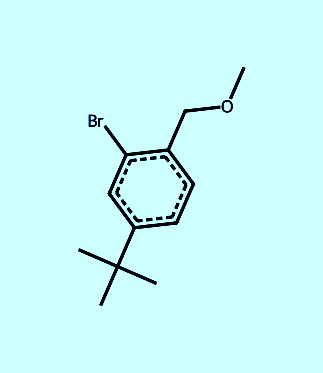 COCc1ccc(C(C)(C)C)cc1Br